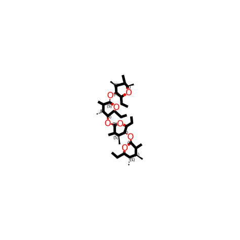 CCC1O[C@@H](O[C@H]2C(CC)O[C@H](O[C@@H]3C(CC)O[C@@H](O[C@H]4C(CC)O[C@H](C)C(C)[C@@H]4C)C(C)[C@H]3C)C(C)[C@@H]2C)C(C)[C@@H](C)[C@@H]1C